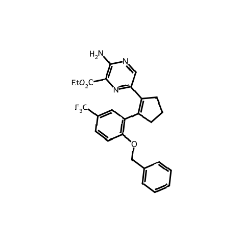 CCOC(=O)c1nc(C2=C(c3cc(C(F)(F)F)ccc3OCc3ccccc3)CCC2)cnc1N